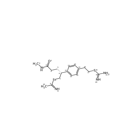 CNC(=O)CC[C@@H](CSC(C)=N)c1ccc(CCSC(=N)N)cc1